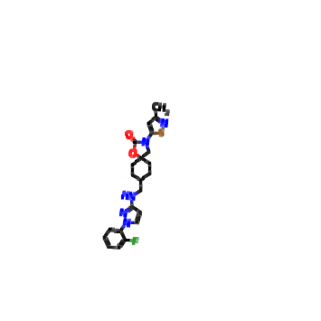 Cc1cc(N2CC3(CCC(CNc4ccn(-c5ccccc5F)n4)CC3)OC2=O)sn1